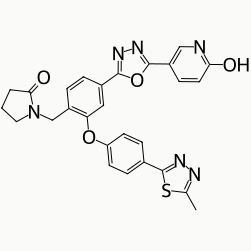 Cc1nnc(-c2ccc(Oc3cc(-c4nnc(-c5ccc(O)nc5)o4)ccc3CN3CCCC3=O)cc2)s1